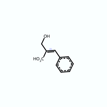 O=C(O)/C(=C\c1ccccc1)CO